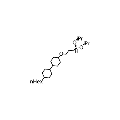 CCCCCCC1CCC(C2CCC(OCCC[SiH](OC(C)C)OC(C)C)CC2)CC1